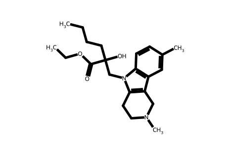 CCCCC(O)(Cn1c2c(c3cc(C)ccc31)CN(C)CC2)C(=O)OCC